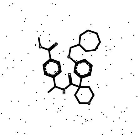 COC(=O)c1ccc(C(C)NC(=O)C2(c3cccc(OCC4CCCCCC4)c3)CCOCC2)cc1